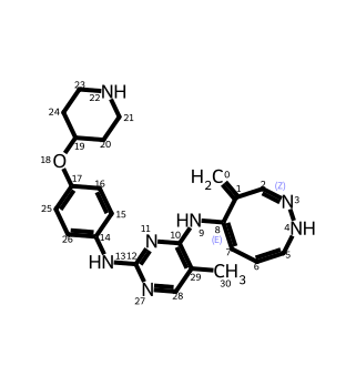 C=C1/C=N\NC=C/C=C\1Nc1nc(Nc2ccc(OC3CCNCC3)cc2)ncc1C